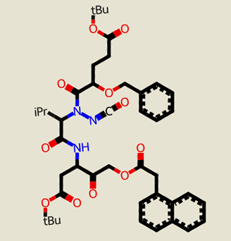 CC(C)C(C(=O)NC(CC(=O)OC(C)(C)C)C(=O)COC(=O)Cc1cccc2ccccc12)N(N=C=O)C(=O)C(CCC(=O)OC(C)(C)C)OCc1ccccc1